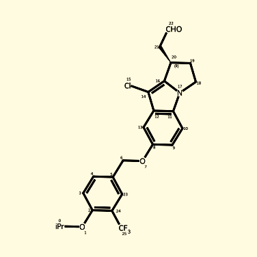 CC(C)Oc1ccc(COc2ccc3c(c2)c(Cl)c2n3CC[C@@H]2CC=O)cc1C(F)(F)F